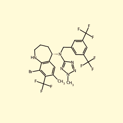 Cc1cc2c(c(Br)c1C(F)(F)F)NCCC[C@@H]2N(Cc1cc(C(F)(F)F)cc(C(F)(F)F)c1)c1nnn(C)n1